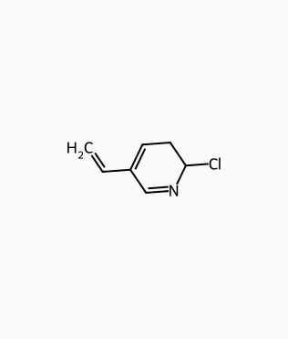 C=CC1=CCC(Cl)N=C1